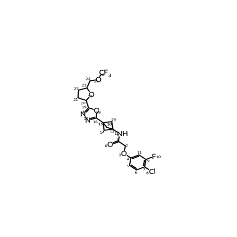 O=C(COc1ccc(Cl)c(F)c1)NC12CC(c3nnc(C4CCC(COC(F)(F)F)O4)o3)(C1)C2